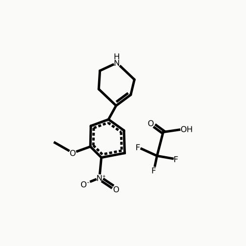 COc1cc(C2=CCNCC2)ccc1[N+](=O)[O-].O=C(O)C(F)(F)F